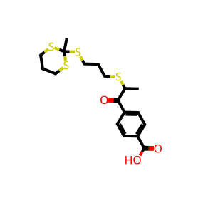 CC(SCCCSC1(C)SCCCS1)C(=O)c1ccc(C(=O)O)cc1